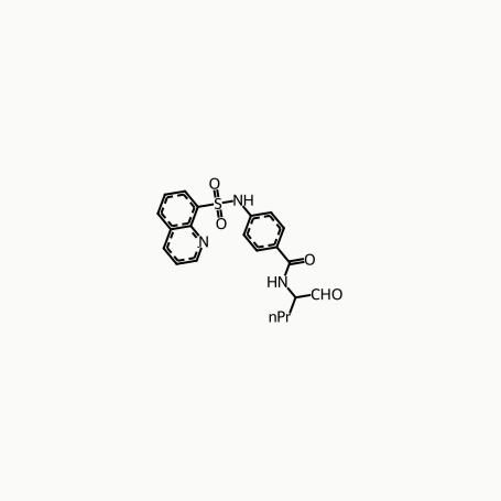 CCCC(C=O)NC(=O)c1ccc(NS(=O)(=O)c2cccc3cccnc23)cc1